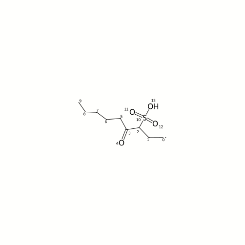 [CH2]CC(C(=O)CCCCC)S(=O)(=O)O